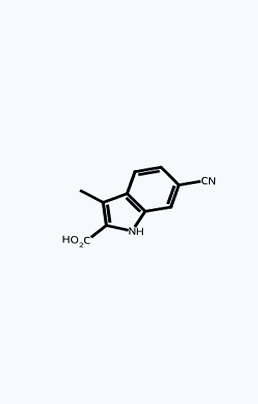 Cc1c(C(=O)O)[nH]c2cc(C#N)ccc12